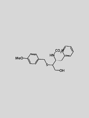 COc1ccc(CSC(CO)[C@@H](Cc2ccccc2)NC(=O)O)cc1